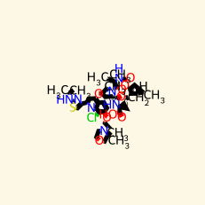 C=C[C@@H]1C[C@]1(NC(=O)[C@@H]1CC(Oc2cc(-c3csc(NC(C)C)n3)nc3c(Cl)c(OCCN4CCOCC4(C)C)ccc23)CN1C(=O)[C@@H](NC(=O)O[C@@H]1CC2=C(C)[C@@H]2C1)C(C)(C)C)C(=O)O